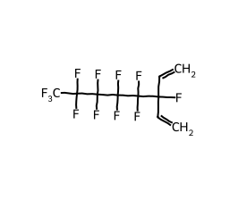 C=CC(F)(C=C)C(F)(F)C(F)(F)C(F)(F)C(F)(F)C(F)(F)F